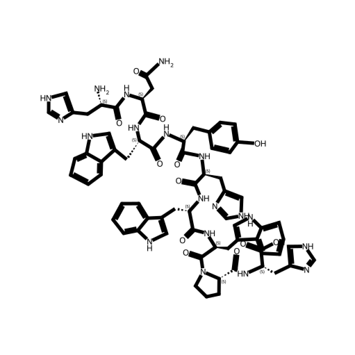 NC(=O)C[C@H](NC(=O)[C@@H](N)Cc1c[nH]cn1)C(=O)N[C@@H](Cc1c[nH]c2ccccc12)C(=O)N[C@@H](Cc1ccc(O)cc1)C(=O)N[C@@H](Cc1c[nH]cn1)C(=O)N[C@@H](Cc1c[nH]c2ccccc12)C(=O)N[C@@H](Cc1c[nH]c2ccccc12)C(=O)N1CCC[C@H]1C(=O)N[C@@H](Cc1c[nH]cn1)C(=O)O